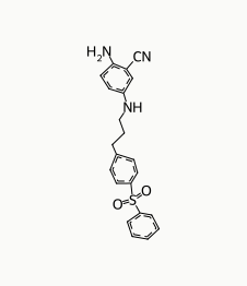 N#Cc1cc(NCCCc2ccc(S(=O)(=O)c3ccccc3)cc2)ccc1N